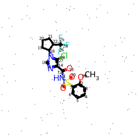 COc1ccccc1S(=O)(=O)NC(=O)c1ncn(C2CCCC2C(F)(F)F)c1Cl